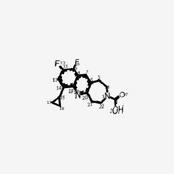 O=C(O)N1CCc2cc3c(F)c(F)cc(C4CC4)c3nc2CC1